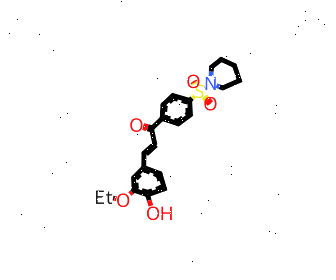 CCOc1cc(/C=C/C(=O)c2ccc(S(=O)(=O)N3CCCCC3)cc2)ccc1O